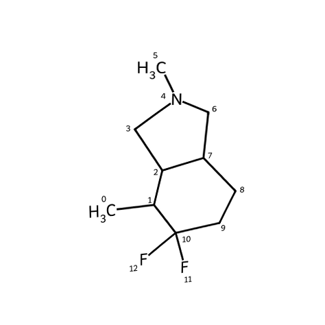 CC1C2CN(C)CC2CCC1(F)F